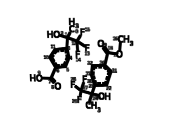 CC(O)(c1ccc(C(=O)O)cc1)C(F)(F)F.COC(=O)c1ccc(C(C)(O)C(F)(F)F)cc1